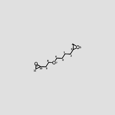 C(CCC1CO1)COCCC1CO1